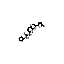 Cc1ccc(-c2cnc3ccc(NC(=S)NC4CCCC4)nc3n2)o1